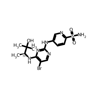 C[C@H](Nc1nc(Nc2ccc(S(N)(=O)=O)nc2)ncc1Br)C(C)(C)O